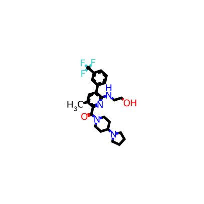 Cc1cc(-c2cccc(C(F)(F)F)c2)c(NCCO)nc1C(=O)N1CCC(N2CCCC2)CC1